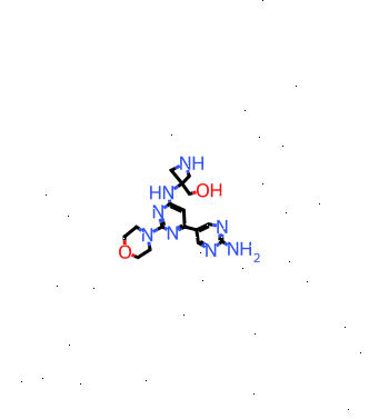 Nc1ncc(-c2cc(NC3(CO)CNC3)nc(N3CCOCC3)n2)cn1